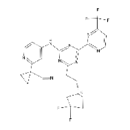 N#CC1(c2cc(Nc3nc(CC[C@@H]4CCC(F)(F)C4)nc(-c4nccc(C(F)(F)F)n4)n3)ccn2)CC1